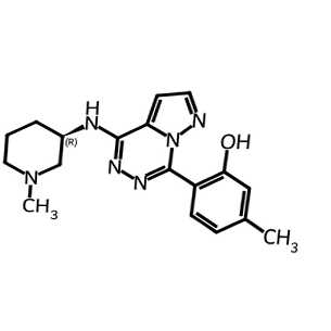 Cc1ccc(-c2nnc(N[C@@H]3CCCN(C)C3)c3ccnn23)c(O)c1